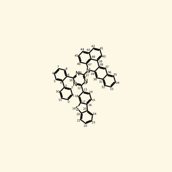 c1ccc(-c2ccccc2-c2nc(-c3ccc4c(c3)sc3ccccc34)nc(N3c4cc5ccccc5cc4-c4cccc5cccc3c45)n2)cc1